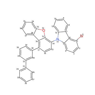 Brc1cccc2c1c1ccccc1n2-c1ccc(-c2cccc(-c3ccccc3)c2)c2c1oc1ccccc12